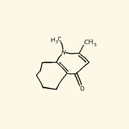 Cc1cc(=O)c2c(n1C)CCCC2